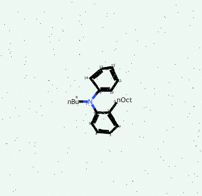 CCCCCCCCc1ccccc1N(CCCC)c1ccccc1